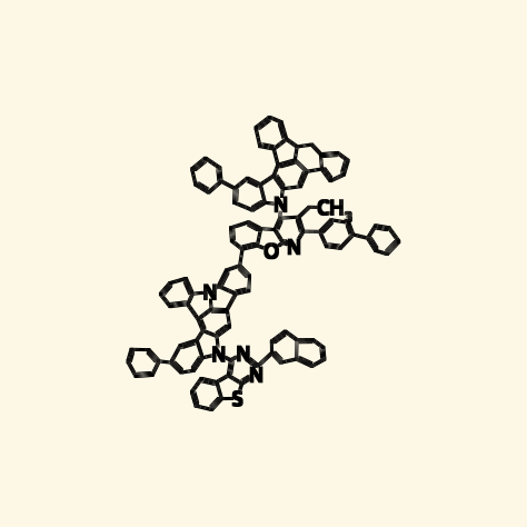 CCc1c(-c2ccc(-c3ccccc3)cc2)nc2oc3c(-c4ccc5c6cc7c(c8cc(-c9ccccc9)ccc8n7-c7nc(-c8ccc9ccccc9c8)nc8sc9ccccc9c78)c7c8ccccc8n(c5c4)c67)cccc3c2c1-n1c2ccc(-c3ccccc3)cc2c2c3c4c(cc21)-c1ccccc1CC4c1ccccc1-3